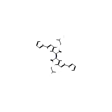 CCCCC(CC)CN1C(=O)/C(=C2/C(=O)N(CC(CC)CCCC)c3cc(-c4cccs4)sc32)c2sc(-c3cccs3)cc21